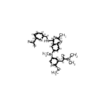 COc1ncc(N(C)c2ccc3nc(C)nc(NCc4cccc(C(F)F)n4)c3c2)cc1CC(=O)N(C)C